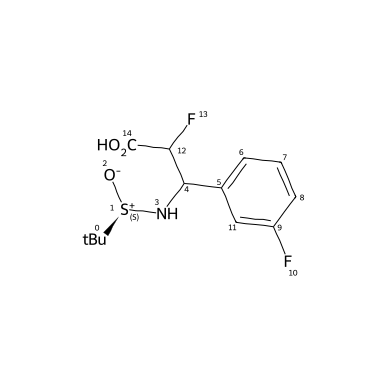 CC(C)(C)[S@@+]([O-])NC(c1cccc(F)c1)C(F)C(=O)O